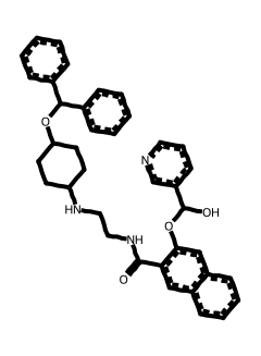 O=C(NCCNC1CCC(OC(c2ccccc2)c2ccccc2)CC1)c1cc2ccccc2cc1OC(O)c1cccnc1